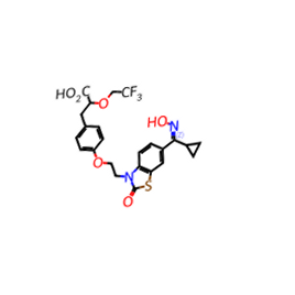 O=C(O)C(Cc1ccc(OCCn2c(=O)sc3cc(/C(=N\O)C4CC4)ccc32)cc1)OCC(F)(F)F